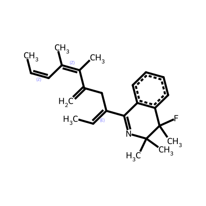 C=C(C/C(=C\C)C1=NC(C)(C)C(C)(F)c2ccccc21)/C(C)=C(C)\C=C/C